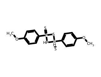 COc1ccc(P2(=S)P[SH](=S)(c3ccc(OC)cc3)S2)cc1